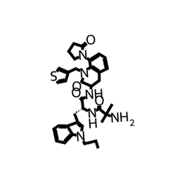 CCCn1cc(C[C@@H](NC(=O)C(C)(C)N)C(=O)NC2Cc3cccc(N4CCCC4=O)c3N(Cc3ccsc3)C2=O)c2ccccc21